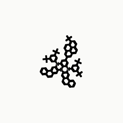 CC(C)(C)c1cc(N2c3cc4c(ccc5ccccc54)cc3B3c4cc5ccc6ccccc6c5cc4N(c4cc(C(C)(C)C)cc(C(C)(C)C)c4)c4cc(-c5cc6ccc7ccc(C(C)(C)C)c8ccc(c5)c6c78)cc2c43)cc(C(C)(C)C)c1